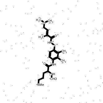 CNCCCC(NC=O)C(=O)Nc1ccc(SNC(=O)/C(C)=C/CN(C)C)c(C)c1C